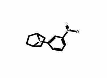 O=[N+]([O-])c1cccc(N2C3CCC2CC3)c1